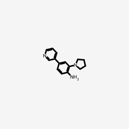 Nc1ccc(-c2cccnc2)cc1N1CCCC1